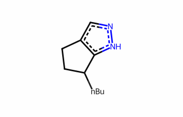 CCCCC1CCc2cn[nH]c21